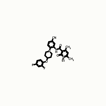 CCn1c(C)cc(C)c(C(=O)Nc2cc(C#N)ccc2N2CCC(Oc3ccc(F)cc3F)CC2)c1=O